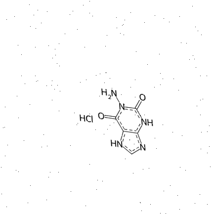 Cl.Nn1c(=O)[nH]c2nc[nH]c2c1=O